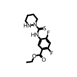 CCOC(=O)c1cc(NC(=S)N2CCCCN2)c(F)cc1F